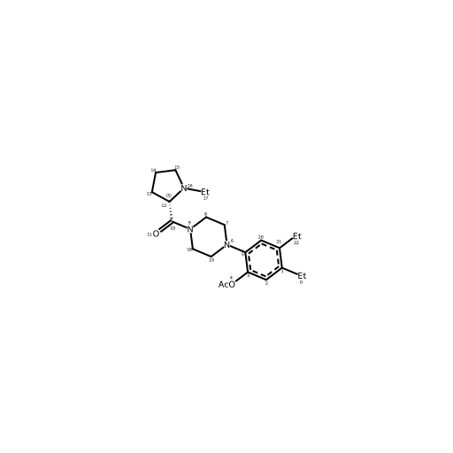 CCc1cc(OC(C)=O)c(N2CCN(C(=O)[C@@H]3CCCN3CC)CC2)cc1CC